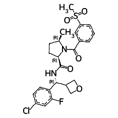 C[C@@H]1CC[C@H](C(=O)N[C@@H](c2ccc(Cl)cc2F)C2COC2)N1C(=O)c1cccc(S(C)(=O)=O)c1